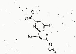 COc1cc(Br)c2nc(C(=O)O)cc(Cl)c2c1